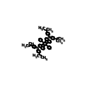 CCC(C)c1ccc(N(c2ccc(C(C)CC)cc2)c2ccc3c4c(-c5ccccc5)c5c6ccc(N(c7ccc(C(C)CC)cc7)c7ccc(C(C)CC)cc7)c7cccc(c5c(-c5ccccc5)c4c4cccc2c43)c76)cc1